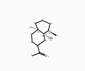 CC(=O)C1CC[C@@]2(C)CCC[C@@H](C)[C@@]2(O)C1